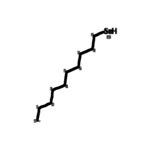 [CH2]CCCCCCCCC[SeH]